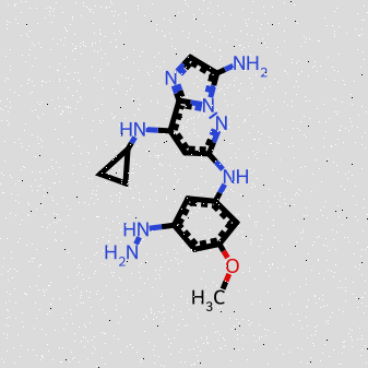 COc1cc(NN)cc(Nc2cc(NC3CC3)c3ncc(N)n3n2)c1